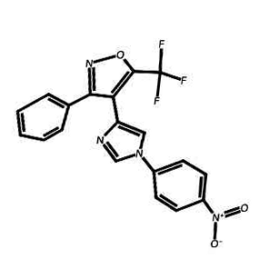 O=[N+]([O-])c1ccc(-n2cnc(-c3c(-c4ccccc4)noc3C(F)(F)F)c2)cc1